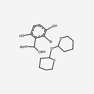 C1CCC(OC2CCCCO2)OC1.COC(OC)c1c(O)ccc(O)c1Br